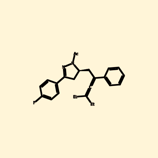 CCC(=C=C(C[C@H]1CC(c2ccc(F)cc2)=NN1C(C)=O)c1ccccc1)CC